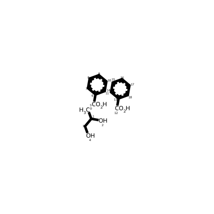 CC(O)CO.O=C(O)c1ccccc1.O=C(O)c1ccccc1